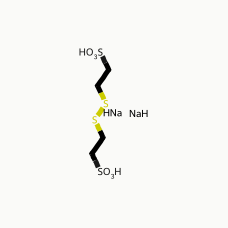 O=S(=O)(O)CCSSCCS(=O)(=O)O.[NaH].[NaH]